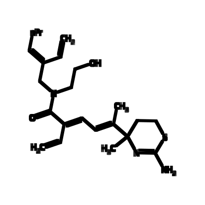 C=C/C(=C\CCC)CN(CCO)C(=O)/C(C=C)=C/C=C(\C)C1(C)CCSC(N)=N1